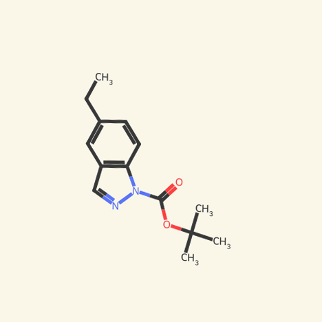 CCc1ccc2c(cnn2C(=O)OC(C)(C)C)c1